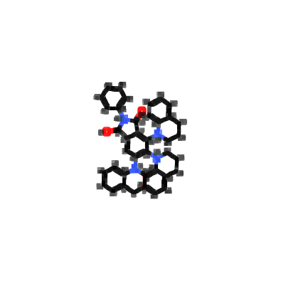 O=C1c2cc(N3CCCc4ccccc43)c(N3CCCc4ccccc43)c(N3CCCc4ccccc43)c2C(=O)N1c1ccccc1